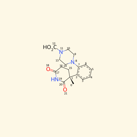 C[C@]1(c2ccccc2N2CCN(C(=O)O)CC2)CCC(=O)NC1=O